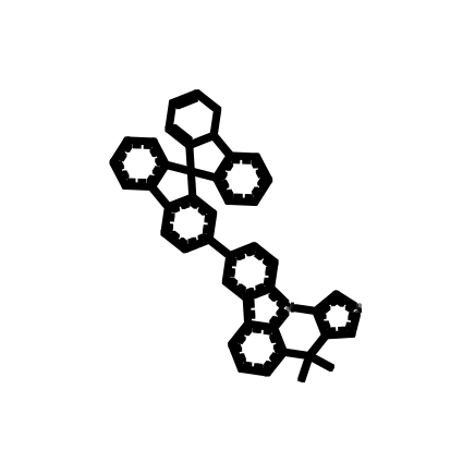 CC1(C)c2cscc2-n2c3ccc(-c4ccc5c(c4)C4(C6=CC=CCC6c6ccccc64)c4ccccc4-5)cc3c3cccc1c32